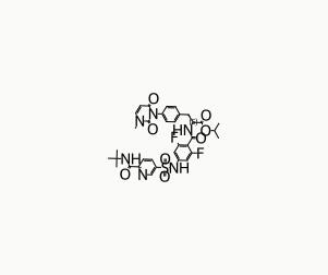 CC(C)OC(=O)[C@H](Cc1ccc(-n2c(=O)ccn(C)c2=O)cc1)NC(=O)c1c(F)cc(NS(=O)(=O)c2ccc(C(=O)NC(C)(C)C)nc2)cc1F